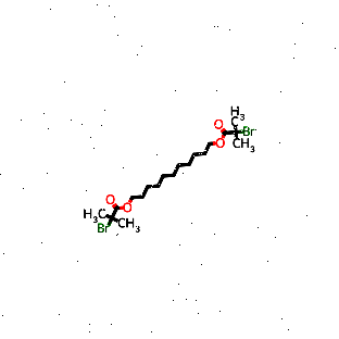 CC(C)(Br)C(=O)OCCCCCCCCCCCOC(=O)C(C)(C)Br